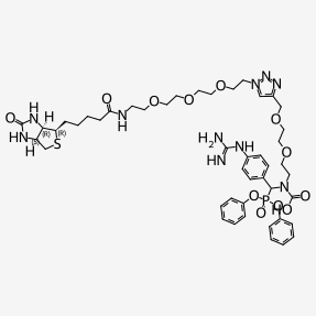 N=C(N)Nc1ccc(C(N(CCOCCOCc2cn(CCOCCOCCOCCNC(=O)CCCC[C@H]3SC[C@H]4NC(=O)N[C@H]43)nn2)C(=O)O)P(=O)(Oc2ccccc2)Oc2ccccc2)cc1